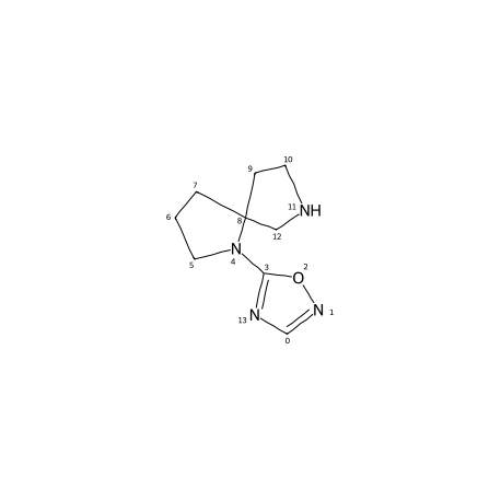 c1noc(N2CCCC23CCNC3)n1